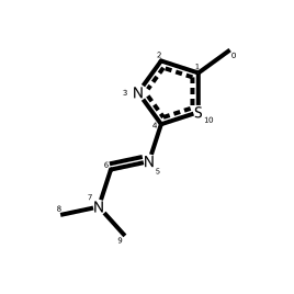 Cc1cnc(/N=C/N(C)C)s1